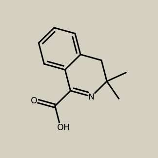 CC1(C)Cc2ccccc2C(C(=O)O)=N1